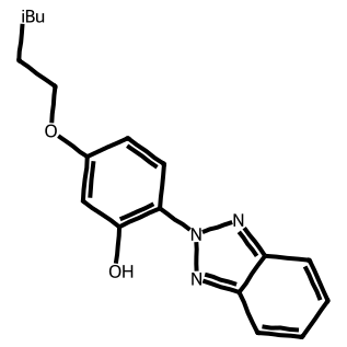 CCC(C)CCOc1ccc(-n2nc3ccccc3n2)c(O)c1